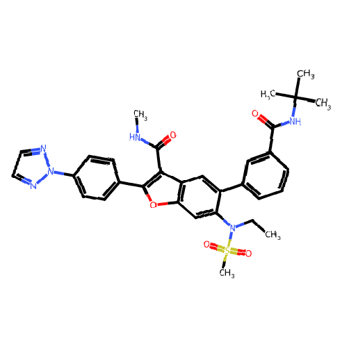 CCN(c1cc2oc(-c3ccc(-n4nccn4)cc3)c(C(=O)NC)c2cc1-c1cccc(C(=O)NC(C)(C)C)c1)S(C)(=O)=O